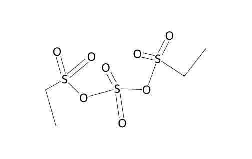 CCS(=O)(=O)OS(=O)(=O)OS(=O)(=O)CC